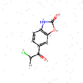 CCC(Cl)C(=O)c1ccc2[nH]c(=O)oc2c1